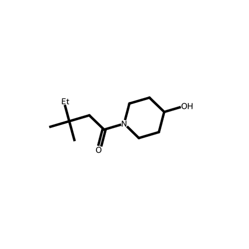 CCC(C)(C)CC(=O)N1CCC(O)CC1